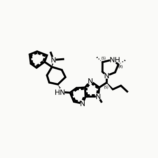 CCC[C@@H](c1nc2cc(N[C@H]3CC[C@@](c4ccccc4)(N(C)C)CC3)cnc2n1C)N1C[C@@H](C)N[C@@H](C)C1